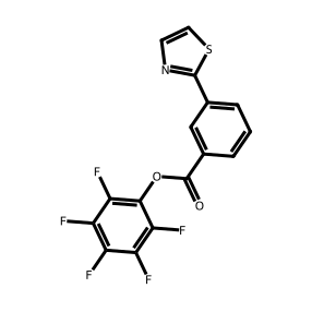 O=C(Oc1c(F)c(F)c(F)c(F)c1F)c1cccc(-c2nccs2)c1